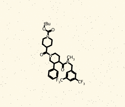 CN(Cc1cc(C(F)(F)F)cc(C(F)(F)F)c1)C(=O)C1CCN(C(=O)C2CCN(C(=O)OC(C)(C)C)CC2)CC1c1ccccc1